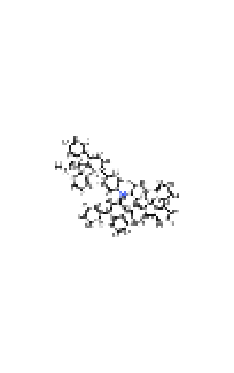 CC1(c2ccccc2)c2ccccc2-c2ccc(-c3ccc(N(c4ccc5c(c4)C4(c6ccccc6-c6ccccc64)c4ccccc4-5)c4cc(-c5ccccc5)c5ccccc5c4)cc3)cc21